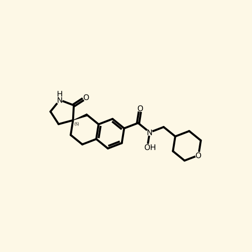 O=C(c1ccc2c(c1)C[C@]1(CCNC1=O)CC2)N(O)CC1CCOCC1